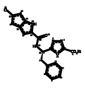 CCOC(=O)c1nnc([C@H](Cc2ccccc2)NC(=O)c2cc3cc(Cl)sc3[nH]2)o1